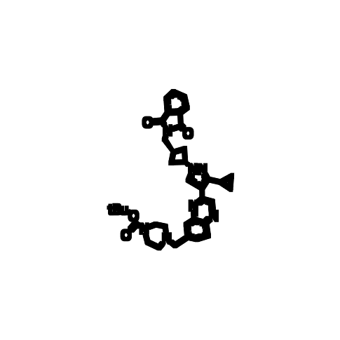 CC(C)(C)OC(=O)N1CCN(Cc2ccc3ncc(-c4cn([C@H]5C[C@H](CN6C(=O)c7ccccc7C6=O)C5)nc4C4CC4)nc3c2)CC1